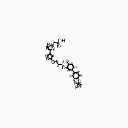 O=C(O)Cn1nnc(-c2cc(OCCCOc3cc(-c4ccc(OC(F)(F)F)cc4)ccc3Cl)no2)n1